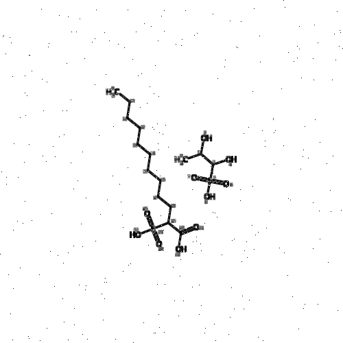 CC(O)C(O)S(=O)(=O)O.CCCCCCCCCCC(C(=O)O)S(=O)(=O)O